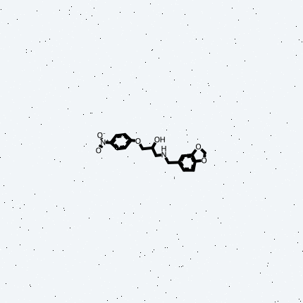 O=[N+]([O-])c1ccc(OCC(O)CNCc2ccc3c(c2)OCO3)cc1